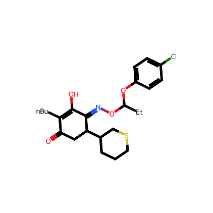 CCCCC1=C(O)C(=NOC(CC)Oc2ccc(Cl)cc2)C(C2CCCSC2)CC1=O